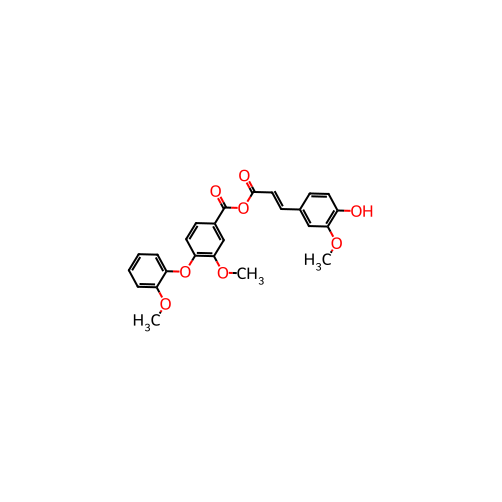 COc1cc(C=CC(=O)OC(=O)c2ccc(Oc3ccccc3OC)c(OC)c2)ccc1O